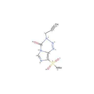 C#CCn1nnc2c(S(=O)(=O)NC)ncn2c1=O